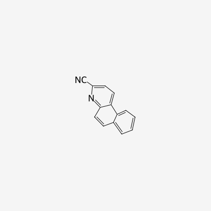 N#Cc1ccc2c(ccc3ccccc32)n1